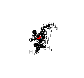 COc1ccc(C(OC[C@H]2O[C@@H](n3ccc(NC(=O)c4ccccc4)nc3=O)[C@H](ON(CCCCCCNC=O)C3(C(=O)O)CC[C@@]4(C)C(=CCC5C4CC[C@@]4(C)C5CC[C@@H]4[C@H](C)CCCC(C)C)C3)[C@@H]2O)(c2ccccc2)c2ccc(OC)cc2)cc1